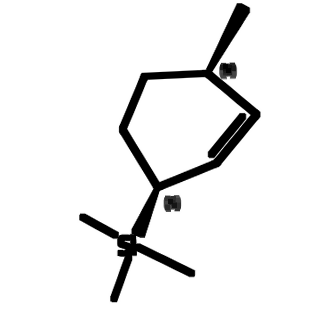 C[C@H]1C=C[C@@H]([Si](C)(C)C)CC1